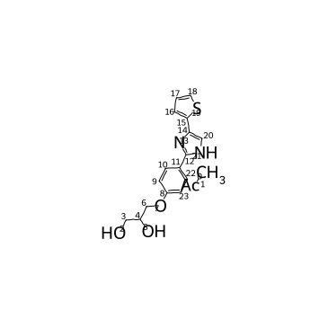 CC(C)=O.OCC(O)COc1ccc(-c2nc(-c3cccs3)c[nH]2)cc1